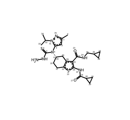 Cc1cc(N(C(=S)NN)[C@H]2CCc3sc(NC(=O)C4CC4)c(C(=O)NCC4CC4)c3C2)n(C(C)C)n1